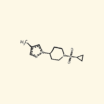 Cc1cnn(C2CCN(S(=O)(=O)C3CC3)CC2)c1